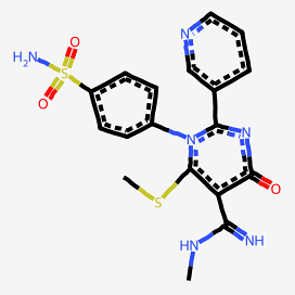 CNC(=N)c1c(SC)n(-c2ccc(S(N)(=O)=O)cc2)c(-c2cccnc2)nc1=O